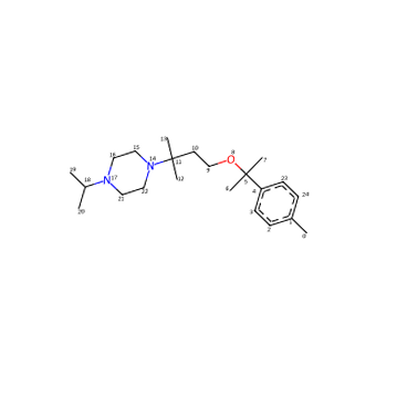 Cc1ccc(C(C)(C)OCCC(C)(C)N2CCN(C(C)C)CC2)cc1